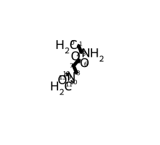 C=CC(N)OC(=O)CCN(C=C)C=O